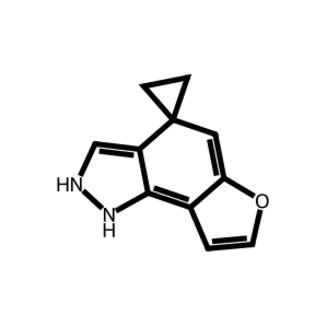 C1=C2C(=c3ccoc3=CC23CC3)NN1